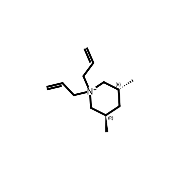 C=CC[N+]1(CC=C)C[C@H](C)C[C@@H](C)C1